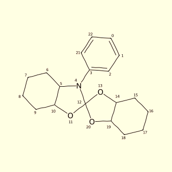 c1ccc(N2C3CCCCC3OC23OC2CCCCC2O3)cc1